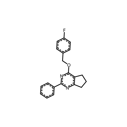 Fc1ccc(COc2nc(-c3ccccc3)nc3c2CCC3)cc1